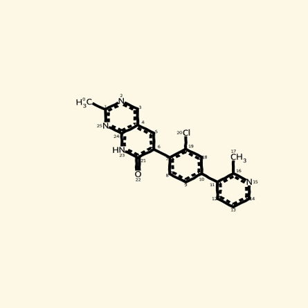 Cc1ncc2cc(-c3ccc(-c4cccnc4C)cc3Cl)c(=O)[nH]c2n1